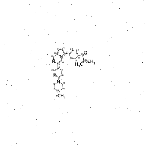 CN1CCN(c2ccc(-c3cn4c(-c5ccc(C(=O)N(C)C)cc5)cnc4cn3)cn2)CC1